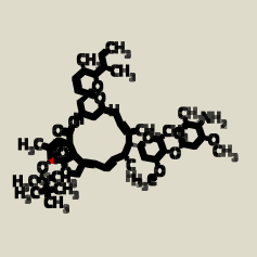 CC[C@@H](C)[C@H]1O[C@]2(C=C[C@@H]1C)C[C@@H]1C[C@@H](C/C=C(\C)C([C@H]3C[C@H](OC)[C@@H](O[C@H]4C[C@H](OC)[C@H](N)[C@H](C)O4)[C@H](C)O3)[C@@H](C)/C=C/C=C3\CO[C@@H]4[C@H](O[Si](C)(C)C(C)(C)C)C(C)=C[C@@H](C(=O)O1)[C@]34O)O2